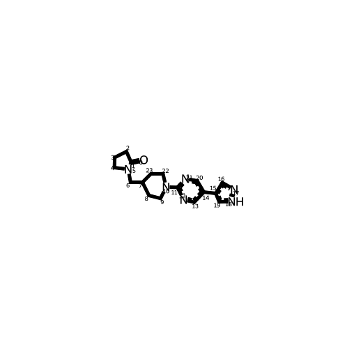 O=C1CCCN1CC1CCN(c2ncc(-c3cn[nH]c3)cn2)CC1